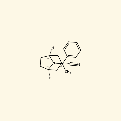 CC(c1ccccc1)N1[C@@H]2CC[C@H]1C[C@H](C#N)C2